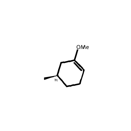 COC1=CCC[C@@H](C)C1